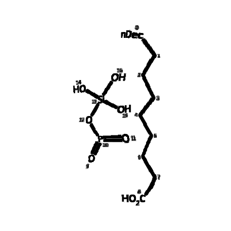 CCCCCCCCCCCCCCCCCC(=O)O.O=P(=O)O[Si](O)(O)O